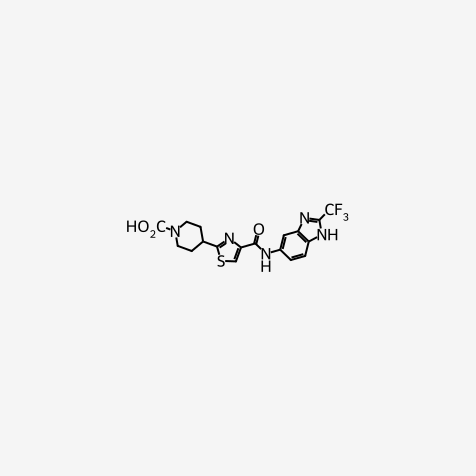 O=C(Nc1ccc2[nH]c(C(F)(F)F)nc2c1)c1csc(C2CCN(C(=O)O)CC2)n1